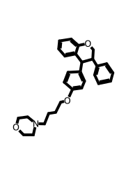 c1ccc(C2COc3ccccc3C2c2ccc(OCCCCN3CCOCC3)cc2)cc1